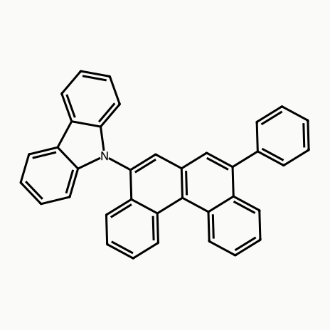 c1ccc(-c2cc3cc(-n4c5ccccc5c5ccccc54)c4ccccc4c3c3ccccc23)cc1